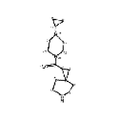 O=C(C1CC12CCNCC2)N1CCN(C2CC2)CC1